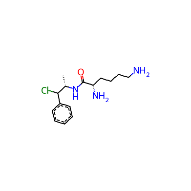 C[C@H](NC(=O)[C@@H](N)CCCCN)C(Cl)c1ccccc1